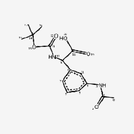 CC(=O)Nc1cccc(C(NC(=O)OC(C)(C)C)C(=O)O)c1